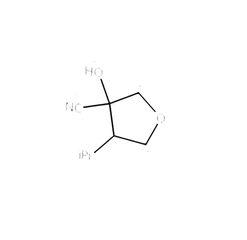 CC(C)C1COCC1(O)C#N